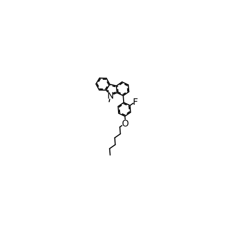 CCCCCCOc1ccc(-c2cccc3c4ccccc4n(C)c23)c(F)c1